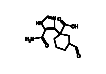 NC(=O)c1[nH]cnc1C1(C(=O)O)CCCC(C=O)C1